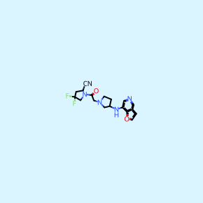 N#CC1CC(F)(F)CN1C(=O)CN1CCC(Nc2cncc3ccoc23)C1